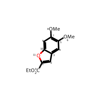 CCOC(=O)c1cc2cc(OC)c(OC)cc2o1